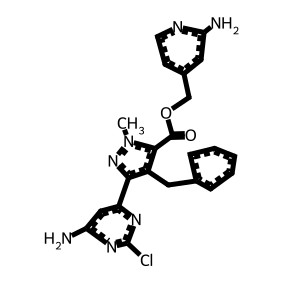 Cn1nc(-c2cc(N)nc(Cl)n2)c(Cc2ccccc2)c1C(=O)OCc1ccnc(N)c1